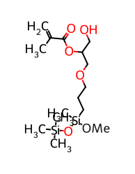 C=C(C)C(=O)OC(CO)COCCC[Si](C)(OC)O[Si](C)(C)C